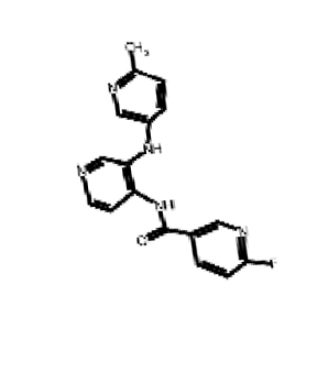 Cc1ccc(Nc2cnccc2NC(=O)c2ccc(F)nc2)cn1